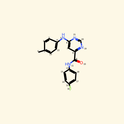 Cc1ccc(Nc2cc(C(=O)Nc3ccc(F)cc3)ncn2)cc1